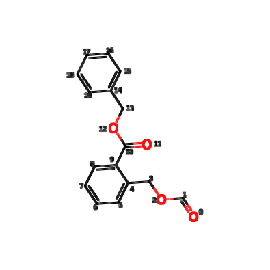 O=COCc1ccccc1C(=O)OCc1ccccc1